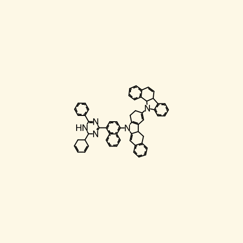 C1=CCC(C2N=C(c3ccc(N4C5=Cc6ccccc6CC5C5=C4CCC(N4c6ccccc6C6C=Cc7ccccc7C64)=C5)c4ccccc34)N=C(c3ccccc3)N2)C=C1